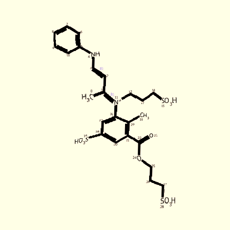 CC(/C=C/Nc1ccccc1)=[N+](/CCCS(=O)(=O)O)c1cc(S(=O)(=O)O)cc(C(=O)OCCCS(=O)(=O)O)c1C